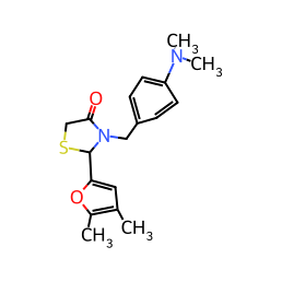 Cc1cc(C2SCC(=O)N2Cc2ccc(N(C)C)cc2)oc1C